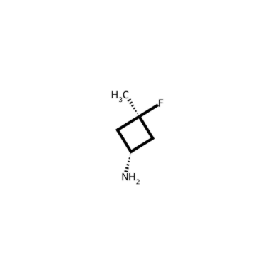 C[C@]1(F)C[C@H](N)C1